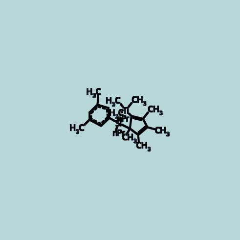 CCC[Si](CCC)(c1cc(C)cc(C)c1)C1(C)C(C)=C(C)C(C)=[C]1[Ti]([CH3])([CH3])[CH3]